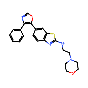 c1ccc(-c2ncoc2-c2ccc3nc(NCCN4CCOCC4)sc3c2)cc1